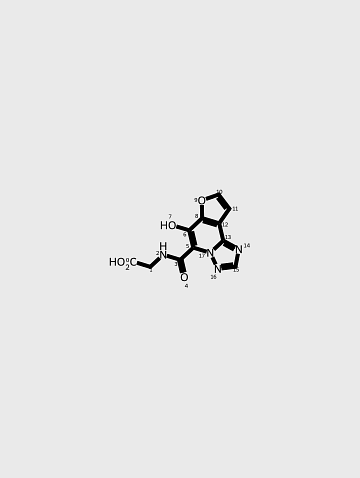 O=C(O)CNC(=O)c1c(O)c2occc2c2ncnn12